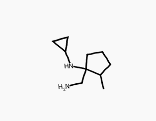 CC1CCCC1(CN)NC1CC1